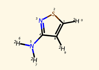 [2H]c1snc(N([2H])[2H])c1[2H]